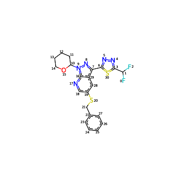 FC(F)c1nnc(-c2nn(C3CCCCO3)c3ncc(SCc4ccccc4)cc23)s1